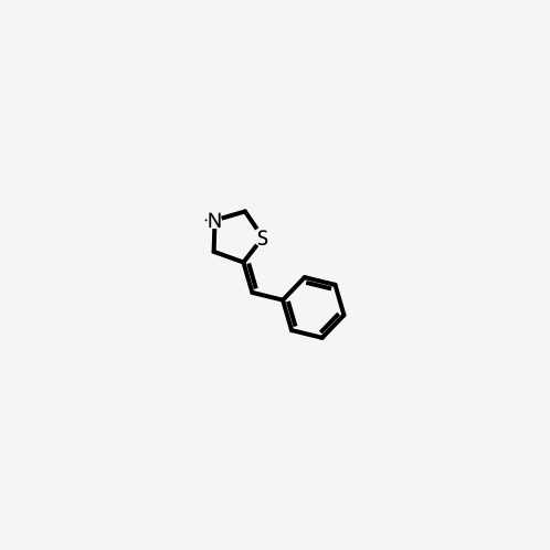 C(=C1C[N]CS1)c1ccccc1